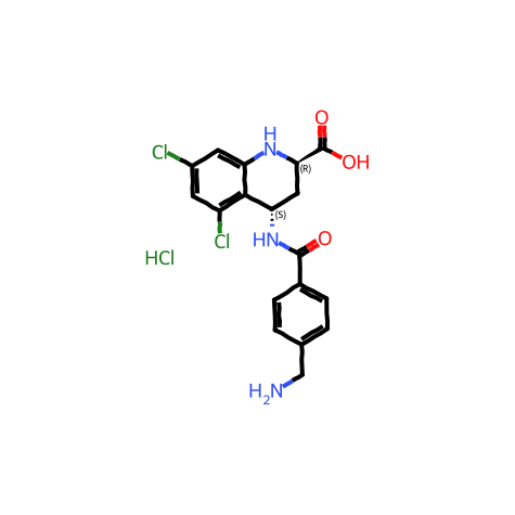 Cl.NCc1ccc(C(=O)N[C@H]2C[C@H](C(=O)O)Nc3cc(Cl)cc(Cl)c32)cc1